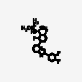 C[SiH](C)OC(c1c(F)ccc(-c2cccc3nc(-c4ccc(F)c(F)c4)cn23)c1F)C(C)(C)C